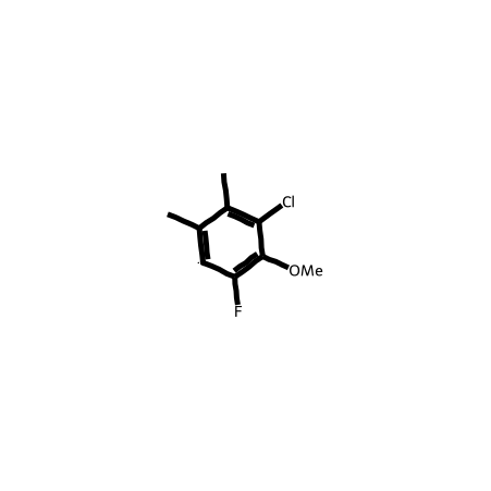 COc1c(F)[c]c(C)c(C)c1Cl